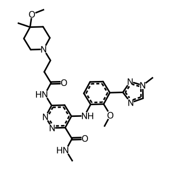 CNC(=O)c1nnc(NC(=O)CCN2CCC(C)(OC)CC2)cc1Nc1cccc(-c2ncn(C)n2)c1OC